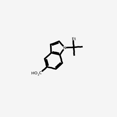 CCC(C)(C)n1ccc2cc(C(=O)O)ccc21